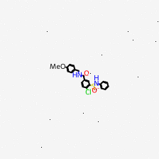 COc1ccc(CNC(=O)c2ccc(Cl)c([S+]([O-])Nc3ccccc3)c2)cc1